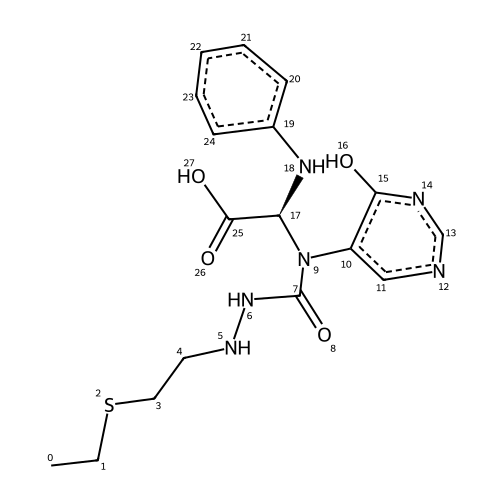 CCSCCNNC(=O)N(c1cncnc1O)[C@H](Nc1ccccc1)C(=O)O